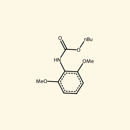 CCCCOC(=O)Nc1c(OC)cccc1OC